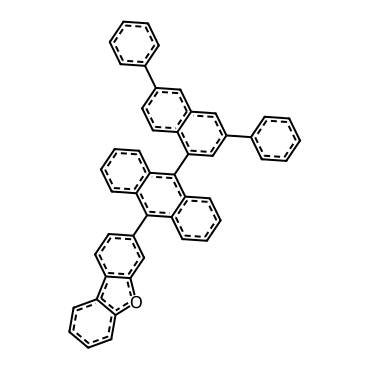 c1ccc(-c2ccc3c(-c4c5ccccc5c(-c5ccc6c(c5)oc5ccccc56)c5ccccc45)cc(-c4ccccc4)cc3c2)cc1